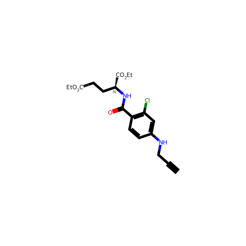 C#CCNc1ccc(C(=O)N[C@@H](CCC(=O)OCC)C(=O)OCC)c(Cl)c1